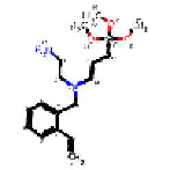 C=Cc1ccccc1CN(CCN)CCC[Si](OC)(OC)OC